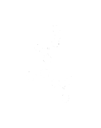 c1ccc(-n2c3ccccc3c3cc(-c4cc(-c5ccc6c(c5)c5ccccc5n6-c5ccc6oc7ccccc7c6c5)c5oc6ccccc6c5c4)ccc32)cc1